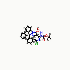 COc1nn(C(c2ccccc2)(c2ccccc2)c2ccccc2)c2cc(Cl)nc(NC(=O)OC(C)(C)C)c12